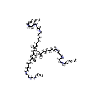 CCCC/C=C\C/C=C\C/C=C\CCCCCCC(=O)OC(COC(=O)CCCCCC/C=C\C/C=C\C/C=C\CCCCC)COC(=O)CCCCCC/C=C\C/C=C\C/C=C\CCCCC